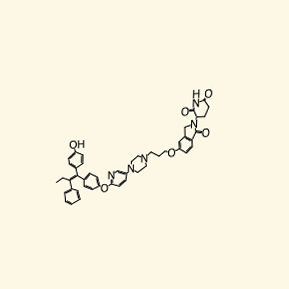 CCC(=C(c1ccc(O)cc1)c1ccc(Oc2ccc(N3CCN(CCCOc4ccc5c(c4)CN(C4CCC(=O)NC4=O)C5=O)CC3)cn2)cc1)c1ccccc1